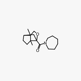 CC12COC3(C(=O)N4CCCCCC4)CC1CCC32C